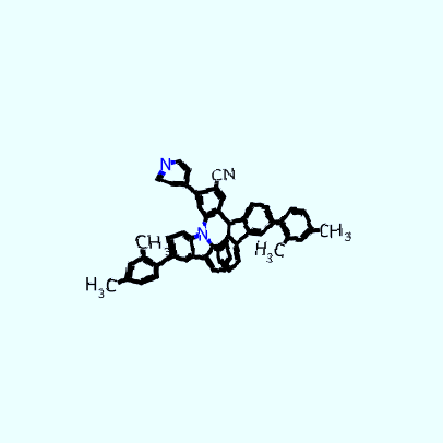 Cc1ccc(-c2ccc3c(c2)-c2ccccc2C3c2cc(C#N)c(-c3ccncc3)cc2-n2c3ccccc3c3cc(-c4ccc(C)cc4C)ccc32)c(C)c1